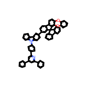 c1ccc(-c2cc(-c3ccccc3)nc(-c3ccc(-n4c5ccccc5c5cc(-c6ccc7c(c6)C6(c8ccccc8-c8ccccc86)c6c-7ccc7c6Oc6ccccc6O7)ccc54)cc3)c2)cc1